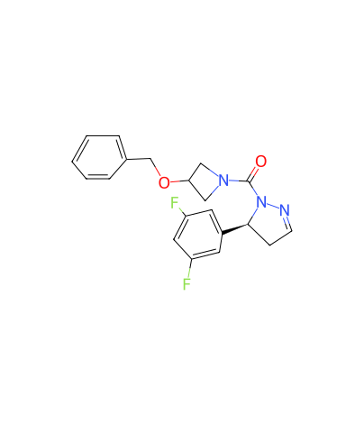 O=C(N1CC(OCc2ccccc2)C1)N1N=CC[C@H]1c1cc(F)cc(F)c1